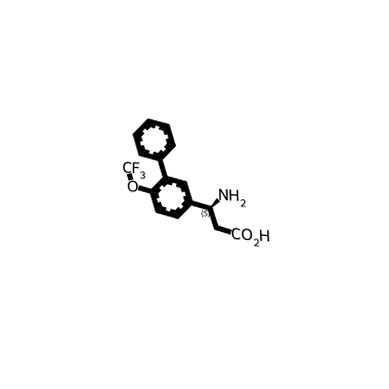 N[C@@H](CC(=O)O)c1ccc(OC(F)(F)F)c(-c2ccccc2)c1